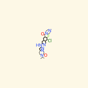 CC(C)N1CCc2cc(Nc3cc4cc(C(=O)N5CCN(C)CC5)c(F)c(Cl)c4cn3)nn2CC1=O